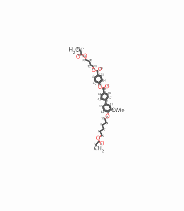 C=CC(=O)OCCCCCCOc1ccc(-c2ccc(C(=O)Oc3ccc(C(=O)OCCCCOC(=O)C=C)cc3)cc2)cc1OC